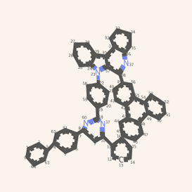 c1ccc(-c2ccc(-c3cc(-c4ccccc4)nc(-c4ccc(-n5c6ccccc6c6c7ccccc7nc(-c7ccc8c9ccccc9c9ccccc9c8c7)c65)cc4)n3)cc2)cc1